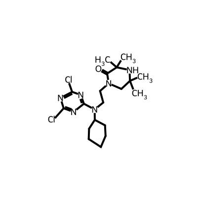 CC1(C)CN(CCN(c2nc(Cl)nc(Cl)n2)C2CCCCC2)C(=O)C(C)(C)N1